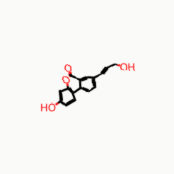 O=c1oc2cc(O)ccc2c2ccc(C#CCO)cc12